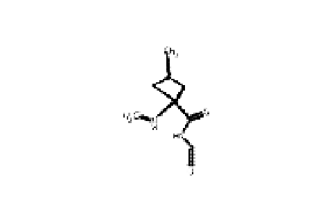 CNC1(C(=O)NC=O)CC(C)C1